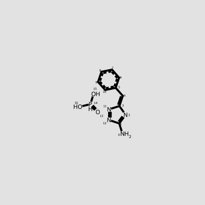 NC1=NC(=Cc2ccccc2)N=N1.O=[PH](O)O